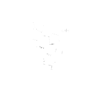 CCC(C(=O)OC)c1cc(O)cc(O)c1C(=O)c1ccc(F)cc1